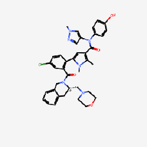 Cc1c(C(=O)N(c2ccc(O)cc2)c2cnn(C)c2)cc(-c2ccc(Cl)cc2C(=O)N2Cc3ccccc3C[C@H]2CN2CCOCC2)n1C